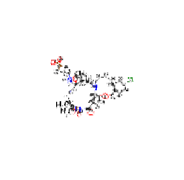 CO[C@]1(CN2CC3(C2)CS(=O)(=O)C3)/C=C/C[C@H](C)[C@@H](C)S(=O)(=O)NC(=O)c2ccc3c(c2)N(CCCCc2cc(Cl)ccc2CO3)C[C@@H]2CC[C@H]21